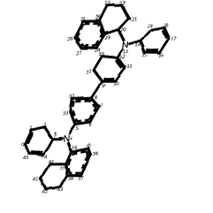 C1=CCC(N(c2ccc(C3=CC=C(N(C4C=CC=CC4)C4CCCc5ccccc54)CC3)cc2)c2cccc3c2CCCC3)C=C1